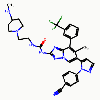 CNC1CCN(CCNC(=O)Nc2nc3c(-c4cccc(C(F)(F)F)c4)c(C)c(-c4ccnn4-c4ccc(C#N)cc4)cn3n2)CC1